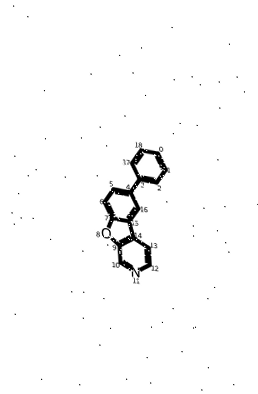 c1ccc(-c2ccc3oc4cnccc4c3c2)cc1